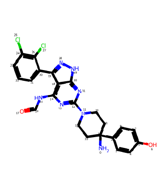 NC1(c2ccc(O)cc2)CCN(c2nc(NC=O)c3c(-c4cccc(Cl)c4Cl)n[nH]c3n2)CC1